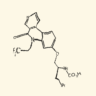 CC(C)CC(COc1ccc2c3ccncc3c(=O)n(CC(F)(F)F)c2c1)NC(=O)O